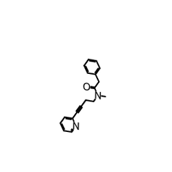 CN(CCC#Cc1ccccn1)C(=O)Cc1ccccc1